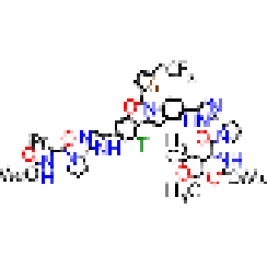 COC(=O)NC(C(=O)N1CCC[C@H]1c1ncc(-c2cc(F)c3c(c2)OC(c2ccc(CC(F)(F)F)s2)n2c-3cc3cc(-c4cnc([C@@H]5CCCN5C(=O)C(NC(=O)OC)C5C[C@@H](C)O[C@@H](C)C5)[nH]4)ccc32)[nH]1)C(C)C